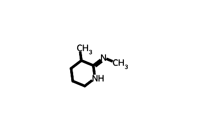 CN=C1NCCCC1C